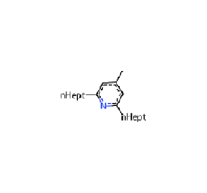 CCCCCCCc1cc(C)cc(CCCCCCC)n1